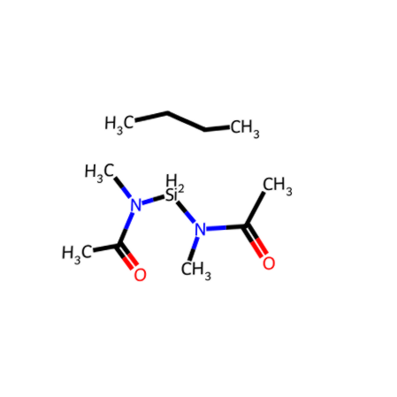 CC(=O)N(C)[SiH2]N(C)C(C)=O.CCCC